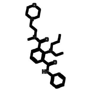 CCCN(CC)c1c(C(=O)Nc2ccccc2)cccc1C(=O)N(C)CCN1CCOCC1